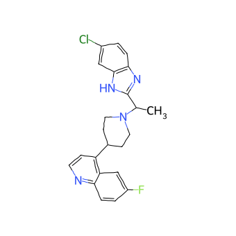 CC(c1nc2ccc(Cl)cc2[nH]1)N1CCC(c2ccnc3ccc(F)cc23)CC1